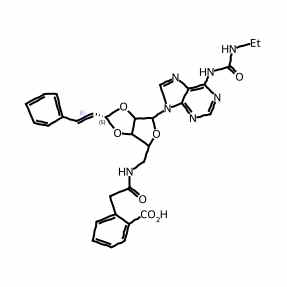 CCNC(=O)Nc1ncnc2c1ncn2C1OC(CNC(=O)Cc2ccccc2C(=O)O)C2O[C@H](/C=C/c3ccccc3)OC21